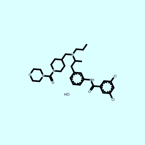 CCCN(CC1CCN(C(=O)N2CCOCC2)CC1)C(C)Cc1cccc(NC(=O)c2cc(Cl)cc(Cl)c2)c1.Cl